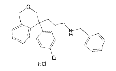 Cl.Clc1ccc(C2(CCCNCc3ccccc3)COCc3ccccc32)cc1